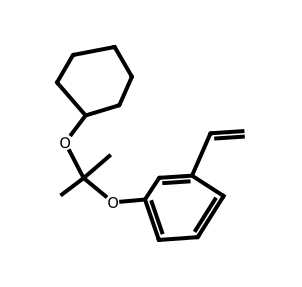 C=Cc1cccc(OC(C)(C)OC2CCCCC2)c1